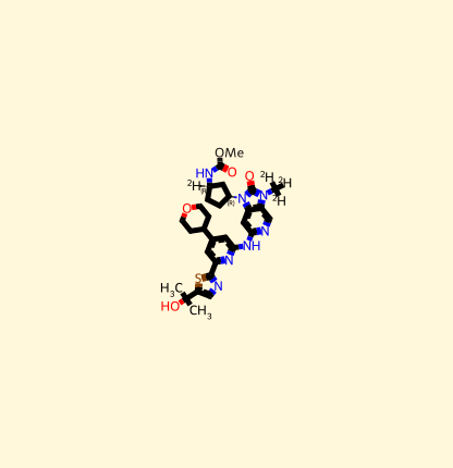 [2H]C([2H])([2H])n1c(=O)n([C@@H]2CC[C@@]([2H])(NC(=O)OC)C2)c2cc(Nc3cc(C4CCOCC4)cc(-c4ncc(C(C)(C)O)s4)n3)ncc21